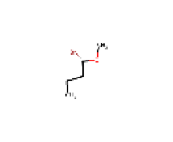 CCC[C@H](Br)OC